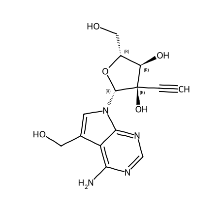 C#C[C@@]1(O)[C@H](O)[C@@H](CO)O[C@H]1n1cc(CO)c2c(N)ncnc21